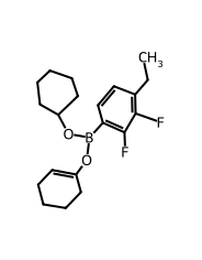 CCc1ccc(B(OC2=CCCCC2)OC2CCCCC2)c(F)c1F